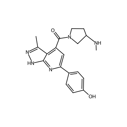 CNC1CCN(C(=O)c2cc(-c3ccc(O)cc3)nc3[nH]nc(C)c23)C1